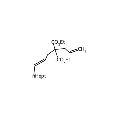 C=CCC(C/C=C/CCCCCCC)(C(=O)OCC)C(=O)OCC